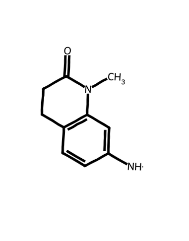 CN1C(=O)CCc2ccc([NH])cc21